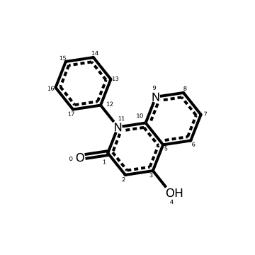 O=c1cc(O)c2cccnc2n1-c1ccccc1